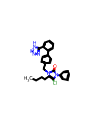 CCCCc1c(Cl)n(-c2ccccc2)c(=O)n1Cc1ccc(-c2ccccc2-c2nnn[nH]2)cc1